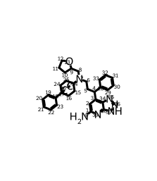 Nc1cc(C(CCN(CC2CCCO2)C23CCC(c4ccccc4)(CC2)CC3)c2ccccc2)c2nn[nH]c2n1